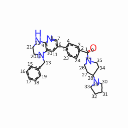 O=C(c1ccc(-c2cnc3c(c2)N(Cc2ccccc2)CCN3)cc1)N1CCC(N2CCCC2)CC1